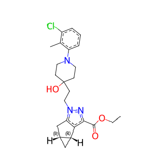 CCOC(=O)c1nn(CCC2(O)CCN(c3cccc(Cl)c3C)CC2)c2c1[C@@H]1C[C@@H]1C2